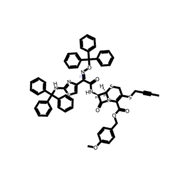 CC#CCSC1=C(C(=O)OCc2ccc(OC)cc2)N2C(=O)[C@@H](NC(=O)/C(=N\OC(c3ccccc3)(c3ccccc3)c3ccccc3)c3csc(NC(c4ccccc4)(c4ccccc4)c4ccccc4)n3)[C@H]2SC1